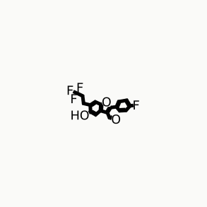 O=Cc1c(-c2ccc(F)cc2)oc2cc(CCC(F)(F)F)c(O)cc12